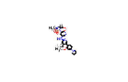 CN1C[C@H]2COc3ncc(Nc4cc5c(cn4)-c4ccc(N6CCCC6)cc4OC5(C)C)cc3N2S1(=O)=O